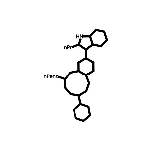 CCCCCC1CCC(C2CCCCC2)CCC2CCC(C3C(CCC)NC4CCCCC43)CC2C1